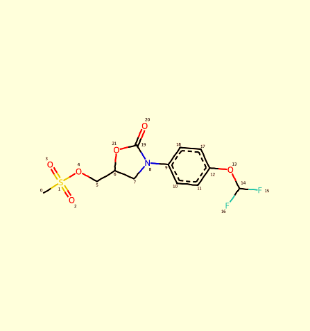 CS(=O)(=O)OCC1CN(c2ccc(OC(F)F)cc2)C(=O)O1